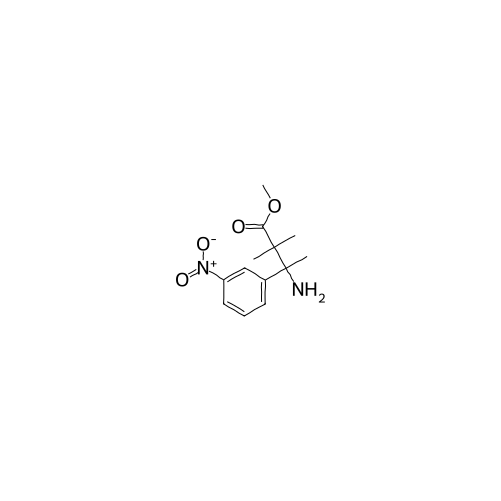 COC(=O)C(C)(C)C(C)(N)c1cccc([N+](=O)[O-])c1